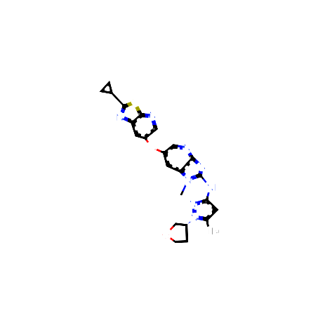 Cn1c(Nc2cc(C(C)(C)C)n([C@H]3CCOC3)n2)nc2ncc(Oc3cnc4sc(C5CC5)nc4c3)cc21